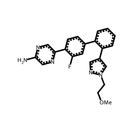 COCCn1cc(-c2ccccc2-c2ccc(-c3cnc(N)cn3)c(F)c2)cn1